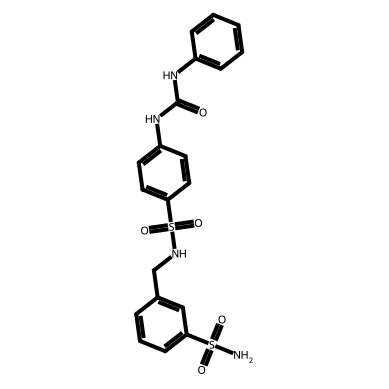 NS(=O)(=O)c1cccc(CNS(=O)(=O)c2ccc(NC(=O)Nc3ccccc3)cc2)c1